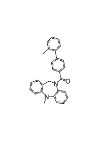 Cc1ccccc1-c1ccc(C(=O)N2Cc3ccccc3N(C)c3ccccc32)cc1